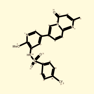 COc1ncc(-c2ccc3nc(C)cc(=O)n3c2)cc1NS(=O)(=O)c1ccc(C(F)(F)F)cc1